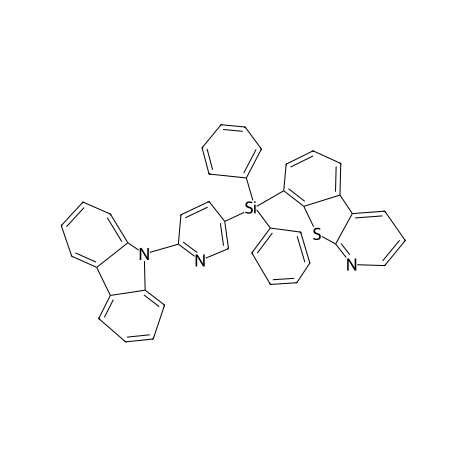 c1ccc([Si](c2ccccc2)(c2ccc(-n3c4ccccc4c4ccccc43)nc2)c2cccc3c2sc2ncccc23)cc1